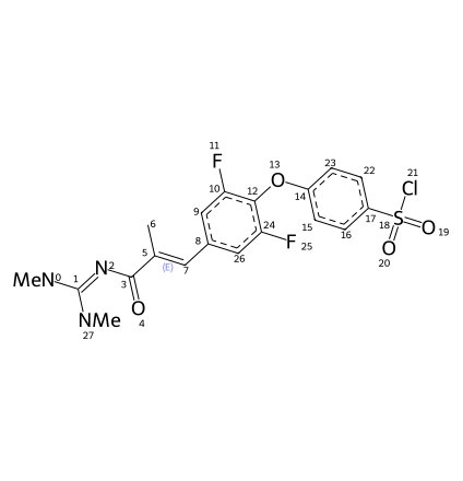 CNC(=NC(=O)/C(C)=C/c1cc(F)c(Oc2ccc(S(=O)(=O)Cl)cc2)c(F)c1)NC